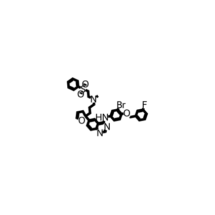 CN(CCCC1(c2ccc3ncnc(Nc4ccc(OCc5cccc(F)c5)c(Br)c4)c3c2)CC=CO1)CCS(=O)(=O)c1ccccc1